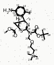 COC(=O)[C@]12C[C@H]1[C@@](C)(c1cc(N)ccc1F)N=C(N(COCC[Si](C)(C)C)C(=O)OC(C)(C)C)S2